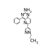 CCCn1cc(-c2ccc3nc(N)nc(-c4ccccc4)c3n2)cn1